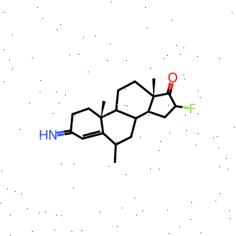 CC1CC2C(CC[C@]3(C)C(=O)C(F)CC23)[C@@]2(C)CCC(=N)C=C12